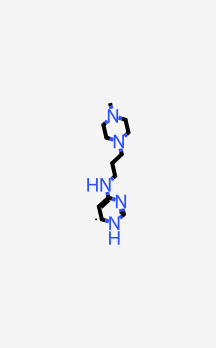 CN1CCN(CCCNC2=C[CH]NC=N2)CC1